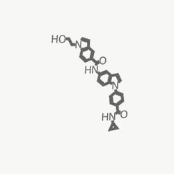 O=C(Nc1ccc2c(ccn2-c2ccc(C(=O)NC3CC3)cc2)c1)c1ccc2c(ccn2CCO)c1